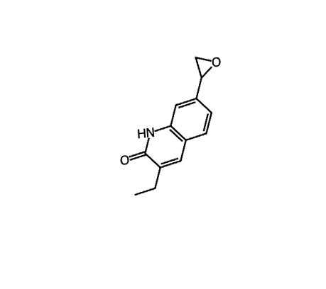 CCc1cc2ccc(C3CO3)cc2[nH]c1=O